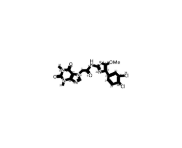 COc1sc(NC(=O)Cn2cnc3c2c(=O)n(C)c(=O)n3C)nc1-c1ccc(Cl)c(Cl)c1